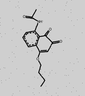 CCCCOC1=CC(=O)C(=O)c2c(NC(C)=O)cccc21